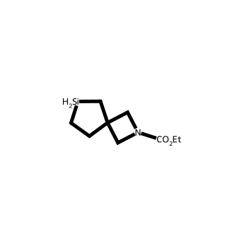 CCOC(=O)N1CC2(CC[SiH2]C2)C1